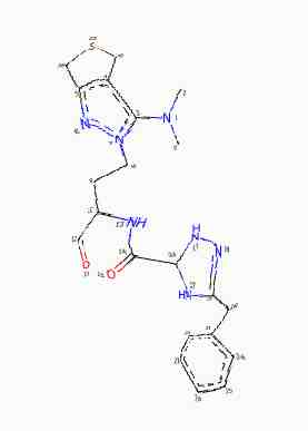 CN(C)c1c2c(nn1CCC(C=O)NC(=O)C1NN=C(Cc3ccccc3)N1)CSC2